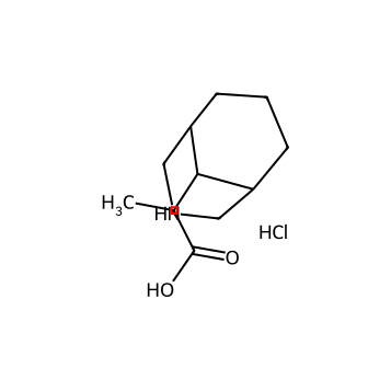 CC(C(=O)O)C1C2CCCC1CNC2.Cl